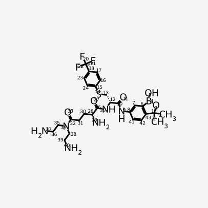 CC1(C)OB(O)c2cc(NC(=O)[C@@H](CSc3ccc(C(F)(F)F)cc3)NC(=O)[C@@H](N)CCC(=O)N(CCN)CCN)ccc21